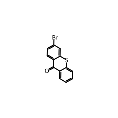 O=c1c2ccccc2sc2cc(Br)ccc12